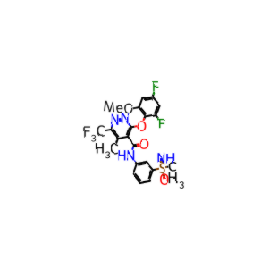 COc1cc(F)cc(F)c1Oc1nnc(C(F)(F)F)c(C)c1C(=O)Nc1cccc(S(C)(=N)=O)c1